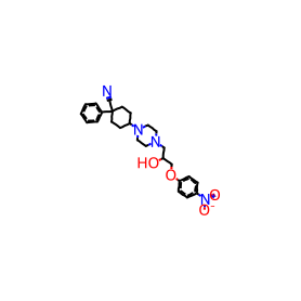 N#CC1(c2ccccc2)CCC(N2CCN(CC(O)COc3ccc([N+](=O)[O-])cc3)CC2)CC1